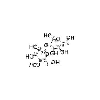 CC(=O)O[C@@H]1C(CO)O[C@@H](OC2C(O)[C@H](O)C(CO)O[C@H]2O)C(O)C1O